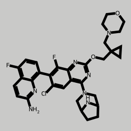 Nc1ccc2c(F)ccc(-c3c(Cl)cc4c(N5CC6CCC(C5)N6)nc(OCC5(CN6CCOCC6)CC5)nc4c3F)c2n1